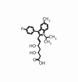 Cc1ccc2c(c1)c(-c1ccc(F)cc1)c(/C=C/[C@@H](O)C[C@@H](O)CC(=O)O)n2C(C)C